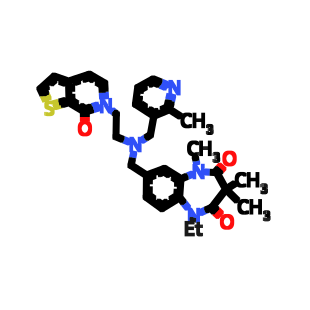 CCN1C(=O)C(C)(C)C(=O)N(C)c2cc(CN(CCn3ccc4ccsc4c3=O)Cc3cccnc3C)ccc21